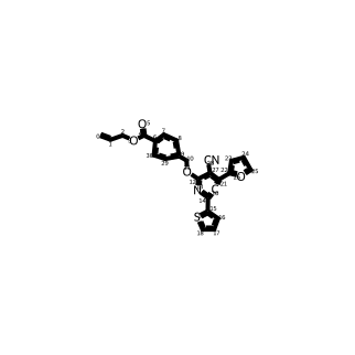 C=CCOC(=O)c1ccc(COc2nc(-c3cccs3)cc(-c3ccco3)c2C#N)cc1